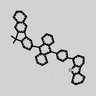 CC1(C)c2ccc(-c3c4ccccc4c(-c4ccc(-c5cccc6c5oc5ccccc56)cc4)c4ccccc34)cc2-c2cc3ccccc3cc21